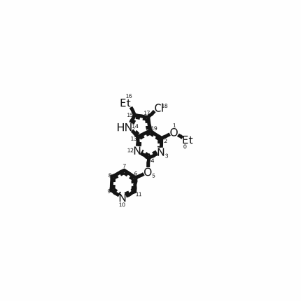 CCOc1nc(Oc2cccnc2)nc2[nH]c(CC)c(Cl)c12